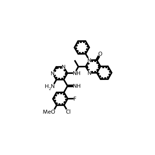 COc1ccc(C(=N)c2c(N)ncnc2NC(C)c2nc3ccccc3c(=O)n2-c2ccccc2)c(F)c1Cl